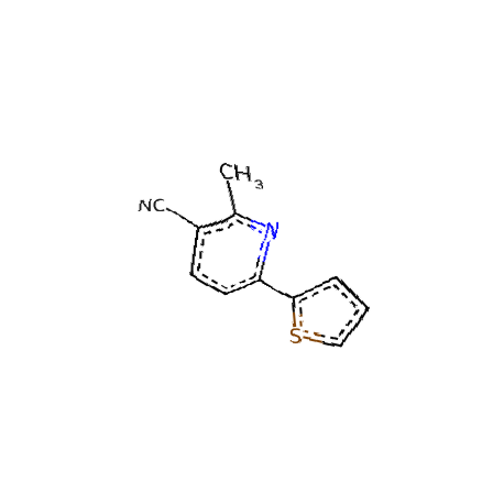 Cc1nc(-c2cccs2)ccc1C#N